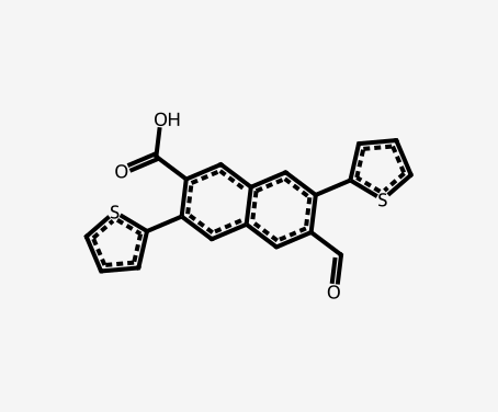 O=Cc1cc2cc(-c3cccs3)c(C(=O)O)cc2cc1-c1cccs1